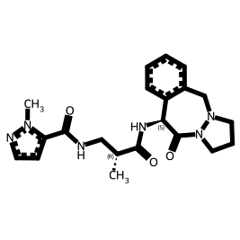 C[C@H](CNC(=O)c1ccnn1C)C(=O)N[C@@H]1C(=O)N2CCCN2Cc2ccccc21